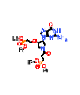 CCOP(=O)(CCO[C@H]1CN(C(=O)CCP(=O)(OC(C)C)OC(C)C)C[C@H]1n1cnc2c(=O)[nH]c(N)nc21)OCC